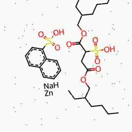 CCCCC(CC)COC(=O)CC(C(=O)OCC(CC)CCCC)S(=O)(=O)O.O=S(=O)(O)c1cccc2ccccc12.[NaH].[Zn]